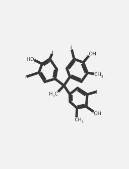 Cc1cc(C(C)(c2cc(C)c(O)c(I)c2)c2cc(I)c(O)c(I)c2)cc(I)c1O